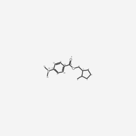 CC1CCCC1COC(=O)c1ccc(N(C)C)cc1